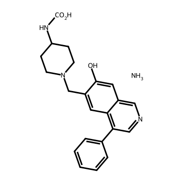 N.O=C(O)NC1CCN(Cc2cc3c(-c4ccccc4)cncc3cc2O)CC1